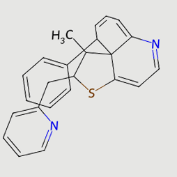 CC1C(Cc2ccccn2)SC2=CC=NC3=CC=CC(c4ccccc4)C321